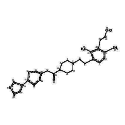 Cc1ccc(CCN2CCN(C(=O)Cc3ccc(-n4cnnn4)cn3)CC2)c(C)c1COC=O